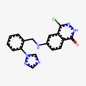 O=c1[nH]nc(Cl)c2cc(NCc3ccccc3-n3cncn3)ccc12